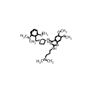 COc1cc2nc(NCCCN(C)C)nc(N[C@@H]3CCN(Cc4c(OC)cccc4N(C)C)C3)c2cc1OC